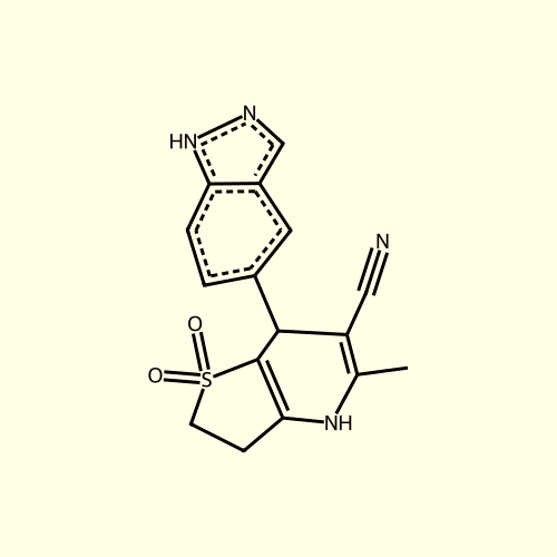 CC1=C(C#N)C(c2ccc3[nH]ncc3c2)C2=C(CCS2(=O)=O)N1